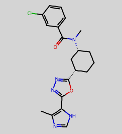 Cc1nc[nH]c1-c1nnc([C@H]2CCC[C@@H](N(C)C(=O)c3cccc(Cl)c3)C2)o1